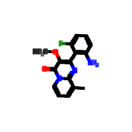 Cc1cccn2c(=O)c(OC(=O)O)c(-c3c(N)cccc3F)nc12